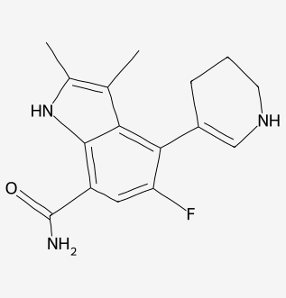 Cc1[nH]c2c(C(N)=O)cc(F)c(C3=CNCCC3)c2c1C